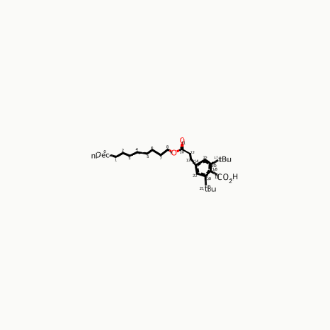 CCCCCCCCCCCCCCCCCCOC(=O)CCc1cc(C(C)(C)C)c(C(=O)O)c(C(C)(C)C)c1